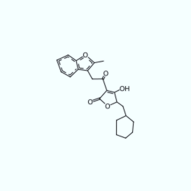 Cc1oc2ccccc2c1CC(=O)C1=C(O)C(CC2CCCCC2)OC1=O